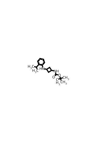 CC(C)c1ccccc1NC1CC(NC(=O)OC(C)(C)C)C1